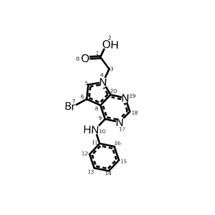 O=C(O)Cn1cc(Br)c2c(Nc3ccccc3)ncnc21